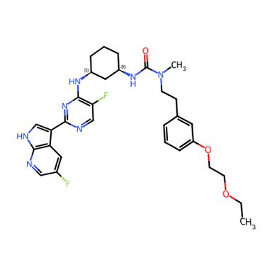 CCOCCOc1cccc(CCN(C)C(=O)N[C@@H]2CCC[C@H](Nc3nc(-c4c[nH]c5ncc(F)cc45)ncc3F)C2)c1